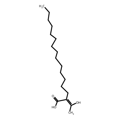 CCCCCCCCCCCCCCC(C(=O)O)=C(C)O